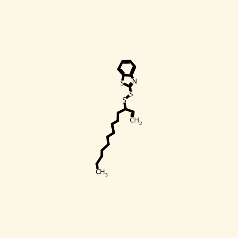 C=CC(CCCCCCCCCC)SSc1nc2ccccc2s1